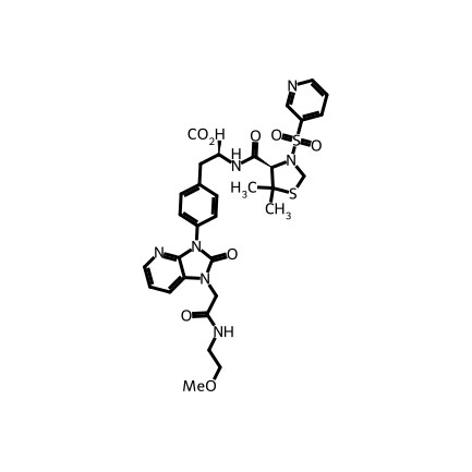 COCCNC(=O)Cn1c(=O)n(-c2ccc(C[C@H](NC(=O)[C@H]3N(S(=O)(=O)c4cccnc4)CSC3(C)C)C(=O)O)cc2)c2ncccc21